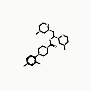 CN1CCO[C@@H](CC(OC(=O)N2CCN(c3ccc(F)cc3F)CC2)[C@@H]2CN(C)CCO2)C1